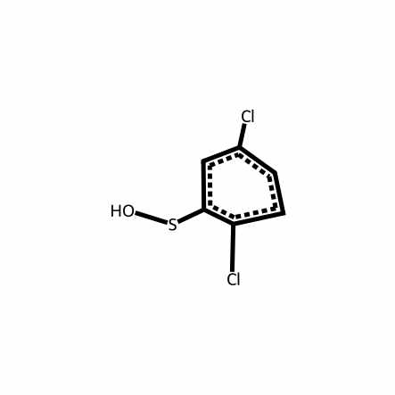 OSc1cc(Cl)ccc1Cl